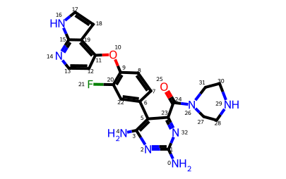 Nc1nc(N)c(-c2ccc(Oc3ccnc4[nH]ccc34)c(F)c2)c(C(=O)N2CCNCC2)n1